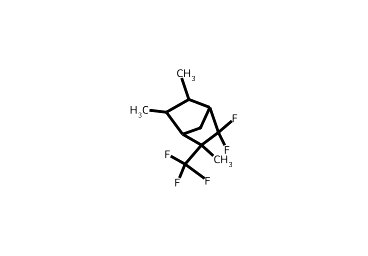 CC1C(C)C2CC1C(F)(F)C2(C)C(F)(F)F